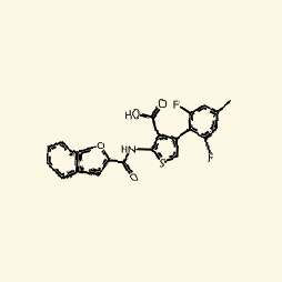 Cc1cc(F)c(-c2csc(NC(=O)c3cc4ccccc4o3)c2C(=O)O)c(F)c1